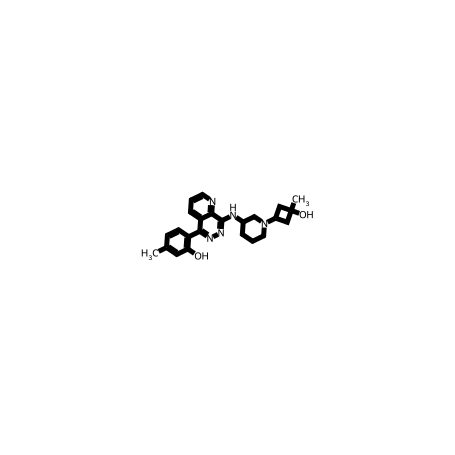 Cc1ccc(-c2nnc(NC3CCCN(C4CC(C)(O)C4)C3)c3ncccc23)c(O)c1